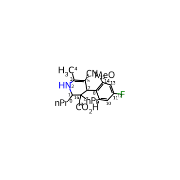 CCCC1NC(C)=C(C#N)C(c2ccc(F)cc2OC)C1(CCC)C(=O)O